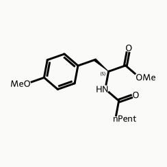 CCCCCC(=O)N[C@@H](Cc1ccc(OC)cc1)C(=O)OC